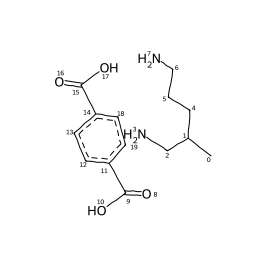 CC(CN)CCCN.O=C(O)c1ccc(C(=O)O)cc1